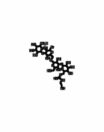 CC(C)C1OC(COC2OC(CO)C(O)C(OC3OC(COC(=N)NCCO)C(O)C(O)C3O)C2O)C(O)C(OC2OC(C(=O)O)C(O)C(O)C2O)C1O